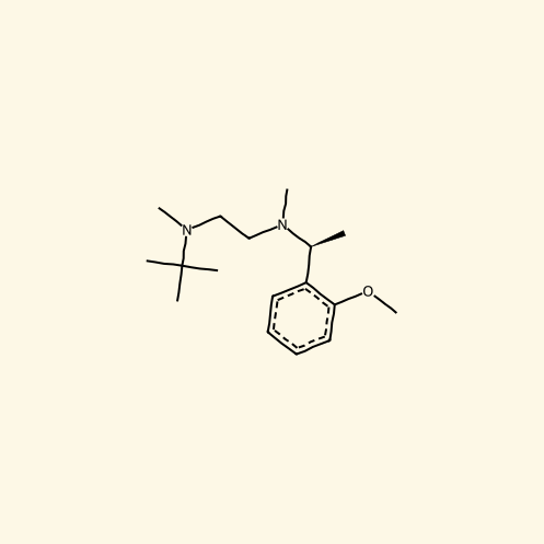 COc1ccccc1[C@H](C)N(C)CCN(C)C(C)(C)C